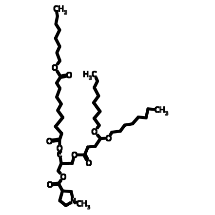 CCCCCCCCOC(=O)CCCCCCCCC(=O)OCC(COC(=O)CCC(OCCCCCCCC)OCCCCCCCC)COC(=O)C1CCN(C)C1